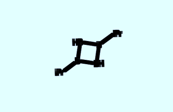 CC(C)B1BB(C(C)C)B1